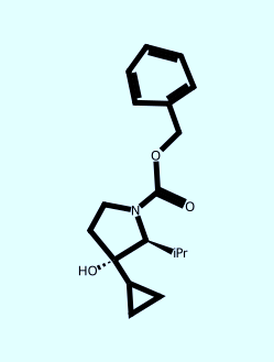 CC(C)[C@@H]1N(C(=O)OCc2ccccc2)CC[C@]1(O)C1CC1